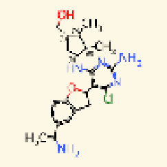 C=C(N)c1ccc2c(c1)CC(c1c(Cl)nc(N)nc1N[C@@H]1C[C@H](CO)[C@@H](C)[C@H]1C)O2